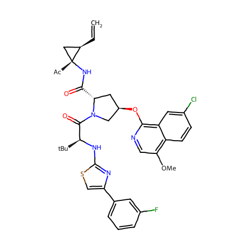 C=C[C@@H]1C[C@]1(NC(=O)[C@@H]1C[C@@H](Oc2ncc(OC)c3ccc(Cl)cc23)CN1C(=O)[C@@H](Nc1nc(-c2cccc(F)c2)cs1)C(C)(C)C)C(C)=O